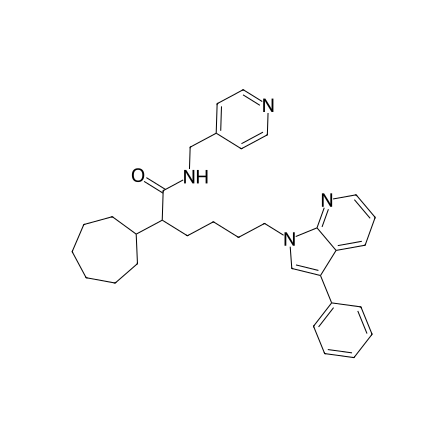 O=C(NCc1ccncc1)C(CCCCn1cc(-c2ccccc2)c2cccnc21)C1CCCCCC1